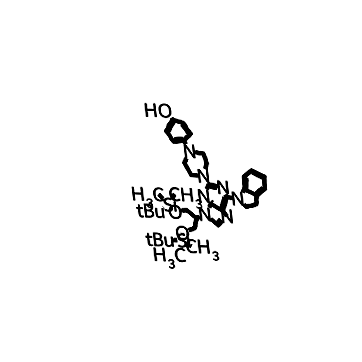 CC(C)(C)[Si](C)(C)OCC(CO[Si](C)(C)C(C)(C)C)n1cnc2c(N3CCc4ccccc43)nc(N3CCN(c4ccc(O)cc4)CC3)nc21